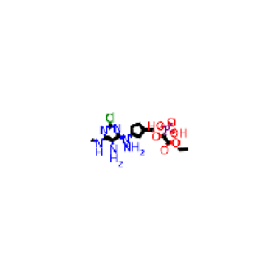 CCOC(=O)C(OCC1CCC(N(N)c2nc(Cl)nc(NC)c2N)C1)P(=O)(O)O